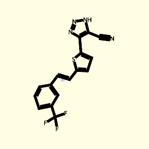 N#Cc1[nH]nnc1-c1ccc(/C=C/c2cccc(C(F)(F)F)c2)s1